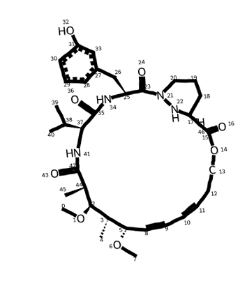 CO[C@@H]1[C@@H](C)[C@@H](OC)C=CC=CCCOC(=O)[C@@H]2CCCN(N2)C(=O)[C@H](Cc2cccc(O)c2)NC(=O)[C@H](C(C)C)NC(=O)[C@@H]1C